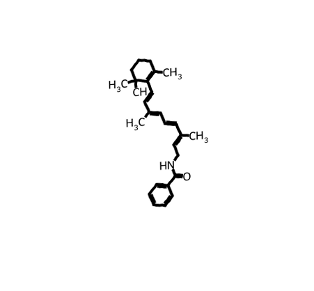 CC(C=CC1=C(C)CCCC1(C)C)=CC=CC(C)=CCNC(=O)c1ccccc1